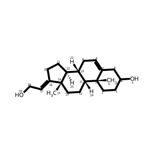 C[C@]12CCC(O)CC1=CC[C@@H]1[C@H]2CC[C@]2(C)C(=CCO)CC[C@@H]12